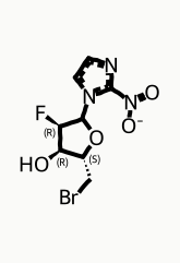 O=[N+]([O-])c1nccn1C1O[C@H](CBr)[C@@H](O)[C@H]1F